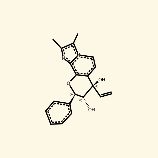 C=C[C@@]1(O)c2ccn3c(C)c(C)nc3c2O[C@H](c2ccccc2)[C@H]1O